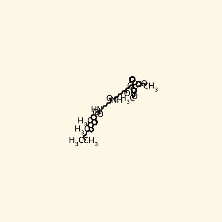 COc1ccc(C(OCCC(O)CCCCCNC(=O)CCCCCNC(=O)O[C@@H]2CC[C@]3(C)C(=CCC4C5CCC(CCCC(C)C)[C@]5(C)CCC43)C2)(c2ccccc2)c2ccc(OC)cc2)cc1